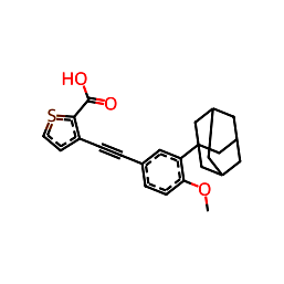 COc1ccc(C#Cc2ccsc2C(=O)O)cc1C12CC3CC(CC(C3)C1)C2